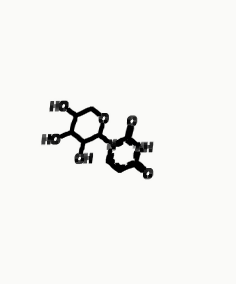 O=c1ccn(C2OCC(O)C(O)C2O)c(=O)[nH]1